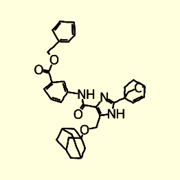 O=C(OCc1ccccc1)c1cccc(NC(=O)c2nc(C34C=CC(CC3)CC4)[nH]c2COC23CC4CC(CC(C4)C2)C3)c1